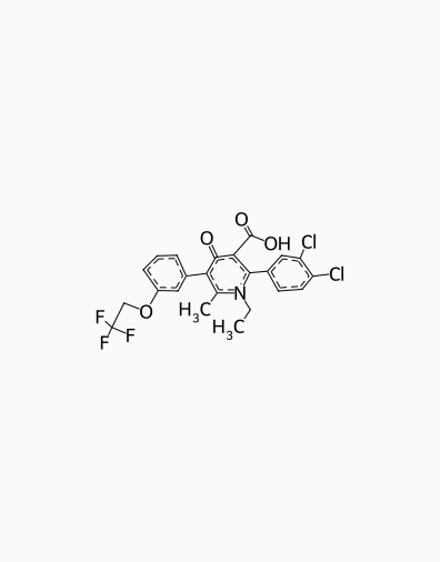 CCn1c(C)c(-c2cccc(OCC(F)(F)F)c2)c(=O)c(C(=O)O)c1-c1ccc(Cl)c(Cl)c1